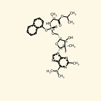 Cc1nc(N(C)C)c2ncn([C@@H]3O[C@H](CO[P@](=S)(N[C@H](C)C(=O)OC(C)C)Oc4cccc5ccccc45)[C@@H](O)[C@@]3(C)F)c2n1